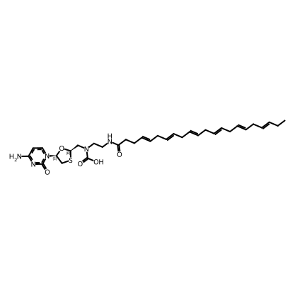 CCC=CCC=CCC=CCC=CCC=CCC=CCCC(=O)NCCN(C[C@@H]1O[C@H](n2ccc(N)nc2=O)CS1)C(=O)O